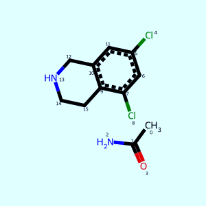 CC(N)=O.Clc1cc(Cl)c2c(c1)CNCC2